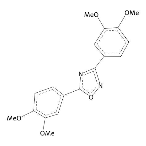 COc1ccc(-c2noc(-c3ccc(OC)c(OC)c3)n2)cc1OC